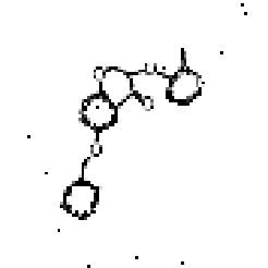 Cc1ncccc1OC1COc2ccc(OCc3ccccc3)cc2C1=O